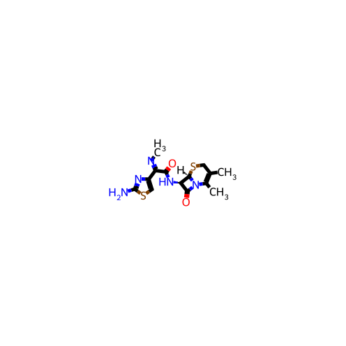 C/N=C(\C(=O)N[C@@H]1C(=O)N2C(C)=C(C)CS[C@H]12)c1csc(N)n1